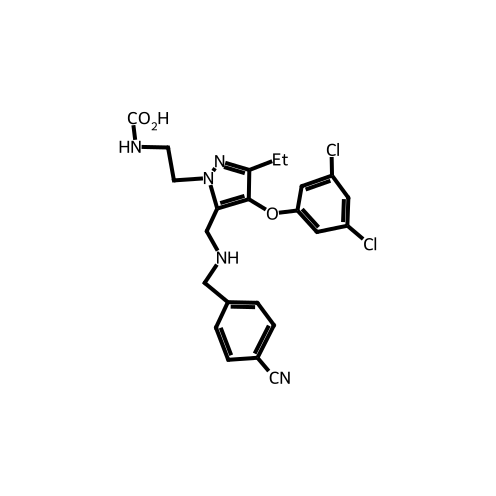 CCc1nn(CCNC(=O)O)c(CNCc2ccc(C#N)cc2)c1Oc1cc(Cl)cc(Cl)c1